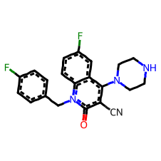 N#Cc1c(N2CCNCC2)c2cc(F)ccc2n(Cc2ccc(F)cc2)c1=O